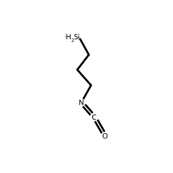 O=C=NCCC[SiH2]